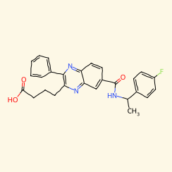 CC(NC(=O)c1ccc2nc(-c3ccccc3)c(CCCC(=O)O)nc2c1)c1ccc(F)cc1